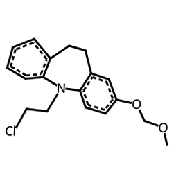 COCOc1ccc2c(c1)CCc1ccccc1N2CCCl